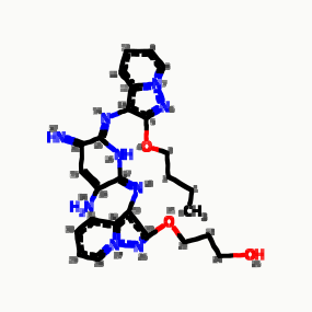 CCCCOc1nn2ccccc2c1/N=C1\N/C(=N/c2c(OCCCO)nn3ccccc23)C(N)=CC1=N